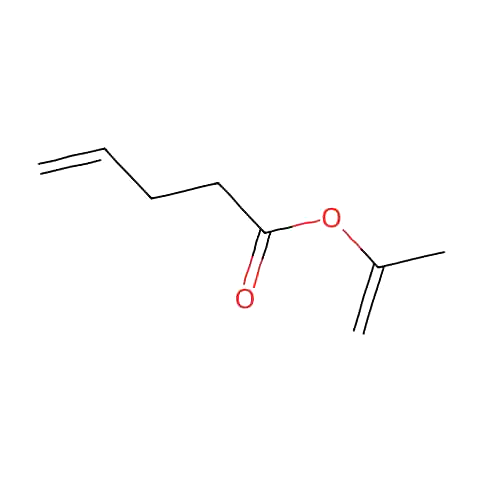 C=CCCC(=O)OC(=C)C